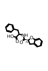 O=C(O)C(Cc1ccccc1)NC(=O)[C@@H]1Cc2ccccc2O1